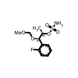 COCO[C@H](c1ccccc1F)[C@@H](C)OS(N)(=O)=O